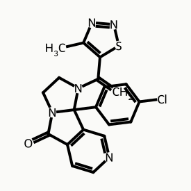 C=C(c1snnc1C)N1CCN2C(=O)c3ccncc3C12c1ccc(Cl)cc1